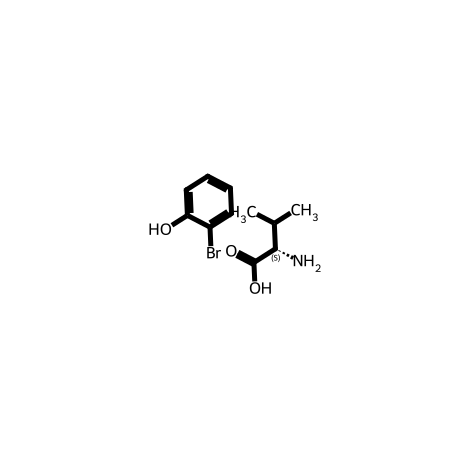 CC(C)[C@H](N)C(=O)O.Oc1ccccc1Br